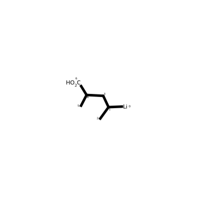 [Li][CH](C)CC(C)C(=O)O